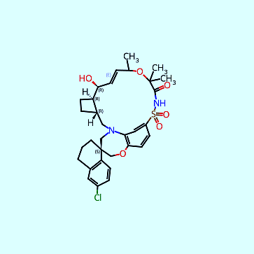 CC1/C=C/[C@H](O)[C@@H]2CC[C@H]2CN2C[C@@]3(CCCc4cc(Cl)ccc43)COc3ccc(cc32)S(=O)(=O)NC(=O)C(C)(C)O1